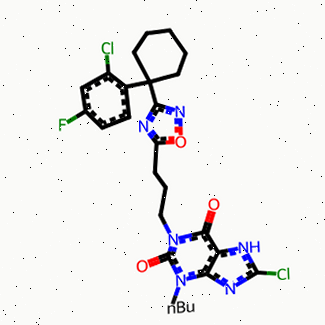 CCCCn1c(=O)n(CCCc2nc(C3(c4ccc(F)cc4Cl)CCCCC3)no2)c(=O)c2[nH]c(Cl)nc21